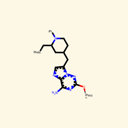 CCC[C@H](C)Oc1nc(N)c2ncc(CC3CCN(C(C)C)C(CNC)C3)n2n1